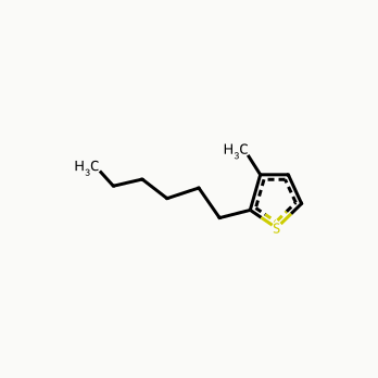 CCCCCCc1sccc1C